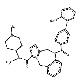 COc1ccccc1-c1ccc(C(=O)N2Cc3ccc(C(=O)N(C)C4CCN(C)CC4)n3Cc3ccccc32)cc1